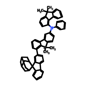 CC1(C)c2ccccc2-c2c(N(c3ccccc3)c3ccc4c(c3)-c3cccc(-c5ccc6c(c5)C5(c7ccccc7-6)C6CC7CC(C6)CC5C7)c3[Si]4(C)C)cccc21